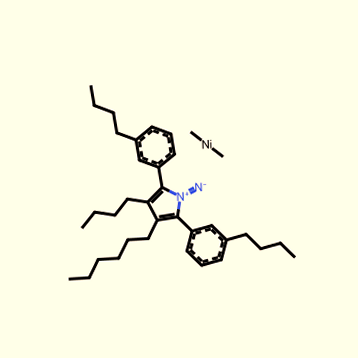 CCCCCCC1=C(c2cccc(CCCC)c2)[N+](=[N-])C(c2cccc(CCCC)c2)=C1CCCC.[CH3][Ni][CH3]